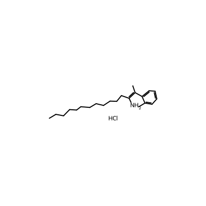 CCCCCCCCCCCCC(N)=C(C)c1ccccc1C.Cl